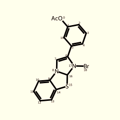 CC(=O)Oc1cccc(C2=CN3c4ccccc4SC3N2Br)c1